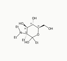 CCN(CC)[C@@]1(CC)[C@@H](O)[C@H](O)[C@@H](CO)OC1(O)CC